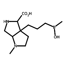 CB(O)CCCC12CCN(C)C1CNC2C(=O)O